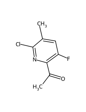 CC(=O)c1nc(Cl)c(C)cc1F